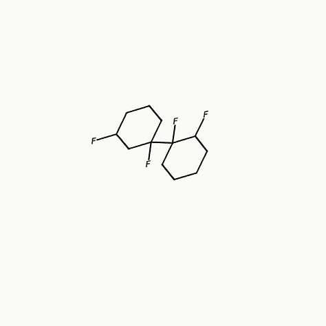 FC1CCCC(F)(C2(F)CCCCC2F)C1